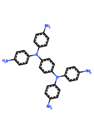 Nc1ccc(N(c2ccc(N)cc2)c2ccc(N(c3ccc(N)cc3)c3ccc(N)cc3)cc2)cc1